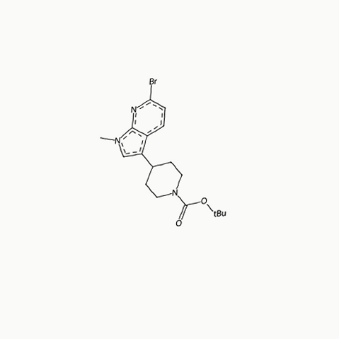 Cn1cc(C2CCN(C(=O)OC(C)(C)C)CC2)c2ccc(Br)nc21